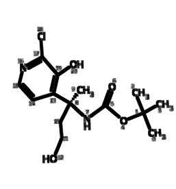 CC(C)(C)OC(=O)N[C@@](C)(CCO)c1ccnc(Cl)c1O